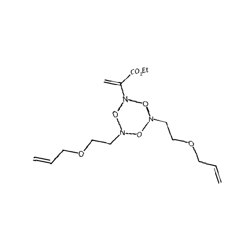 C=CCOCCN1ON(CCOCC=C)ON(C(=C)C(=O)OCC)O1